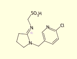 O=S(=O)(O)C/N=C1\CCCN1Cc1ccc(Cl)nc1